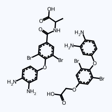 CC(NC(=O)c1cc(Br)c(Oc2ccc(N)c(N)c2)c(Br)c1)C(=O)O.Nc1ccc(Oc2c(Br)cc(OCC(=O)O)cc2Br)cc1N